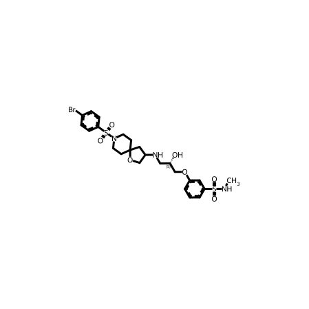 CNS(=O)(=O)c1cccc(OC[C@@H](O)CNC2COC3(CCN(S(=O)(=O)c4ccc(Br)cc4)CC3)C2)c1